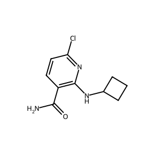 NC(=O)c1ccc(Cl)nc1NC1CCC1